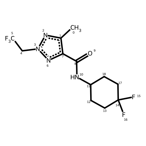 Cc1nn(CC(F)(F)F)nc1C(=O)NC1CCC(F)(F)CC1